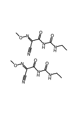 CCNC(=O)NC(=O)/C(C#N)=N/OC.CCNC(=O)NC(=O)/C(C#N)=N/OC